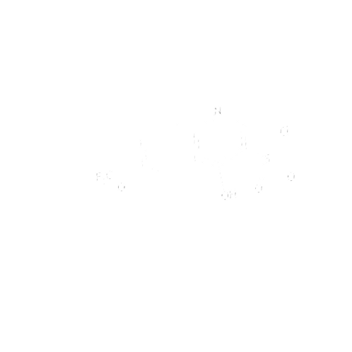 O=S(=O)(Cl)c1cnc2ccc(OC(F)(F)F)cc2c1O